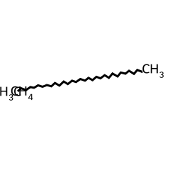 C.CCCCCCCCCCCCCCCCCCCCCCCCCCCCCCCC